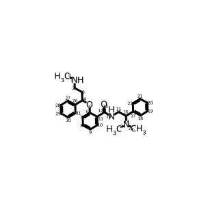 CNCCC(Oc1ccccc1C(=O)NCC(c1ccccc1)N(C)C)c1ccccc1